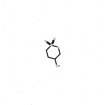 N#CC1CCS(=O)(=O)OC1